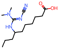 CCCC(CCCCCC(=O)O)NC(=NC#N)N(C)C